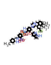 C=C(CCC1=C(CN2CCN(c3ccc(C(=O)NS(=O)(=O)c4ccc(NC[C@H]5CC[C@@H](C)CC5)c([N+](=O)[O-])c4)c(Oc4cnc5[nH]ccc5c4)c3)CC2)CCC(C)(C)C1)C(F)F